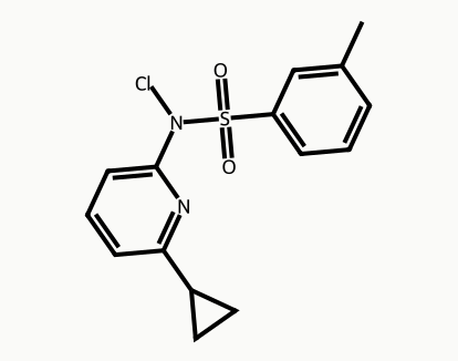 Cc1cccc(S(=O)(=O)N(Cl)c2cccc(C3CC3)n2)c1